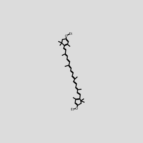 CCOC1=CC(C)=C(/C=C/C(C)=C/C=C/C(C)=C/C=C/C=C(C)/C=C/C=C(C)/C=C/C2=C(C)C=C(OCC)CC2(C)C)C(C)(C)C1